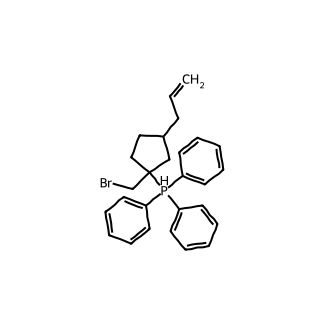 C=CCC1CCC(CBr)([PH](c2ccccc2)(c2ccccc2)c2ccccc2)C1